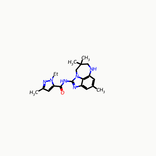 CCn1nc(C)cc1C(=O)Nc1nc2cc(C)cc3c2n1CC(C)(C)CN3